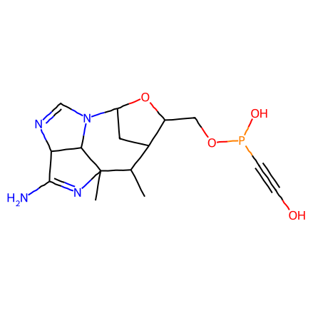 CC1C2CC(OC2COP(O)C#CO)N2C=NC3C(N)=NC1(C)C32